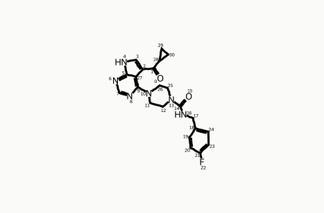 O=C(c1c[nH]c2ncnc(N3CCN(C(=O)NCc4ccc(F)cc4)CC3)c12)C1CC1